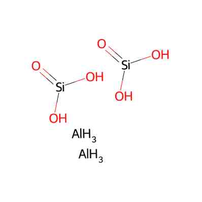 O=[Si](O)O.O=[Si](O)O.[AlH3].[AlH3]